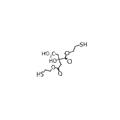 O=C(O)CC(O)(CC(=O)OCCS)C(=O)OCCS